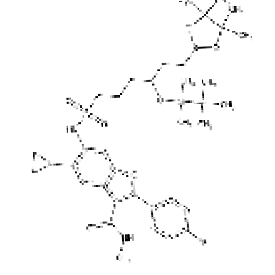 CNC(=O)c1c(-c2ccc(F)cc2)oc2cc(NS(=O)(=O)CCCC(CCB3OC(C)(C)C(C)(C)O3)O[Si](C)(C)C(C)(C)C)c(C3CC3)cc12